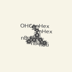 CCCCCCc1cc(-c2sc(C=O)cc2CCCCCC)sc1-c1ccc(N(c2ccc3c(c2)C(CCCC)(CCCC)c2ccccc2-3)c2ccc3c(c2)C(CCCC)(CCCC)c2ccccc2-3)cc1